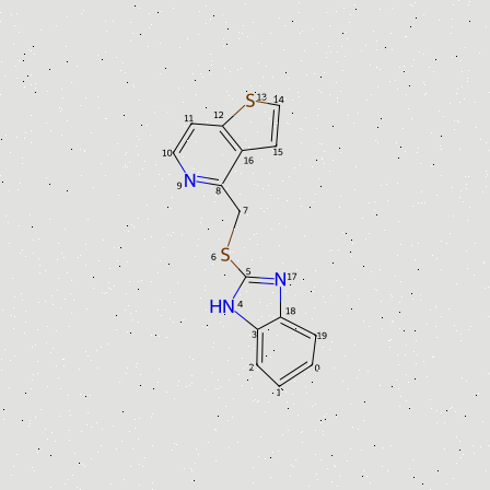 c1ccc2[nH]c(SCc3nccc4sccc34)nc2c1